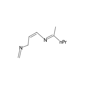 C=NC/C=C\N=C(/C)CCC